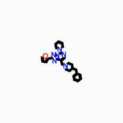 C1=CCN(c2ncc(CN3CCC(Cc4ccccc4)CC3)c3nc(-c4ccco4)nn23)CC1